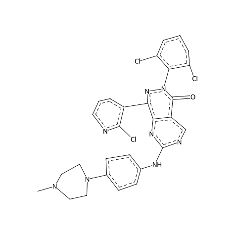 CN1CCN(c2ccc(Nc3ncc4c(=O)n(-c5c(Cl)cccc5Cl)nc(-c5cccnc5Cl)c4n3)cc2)CC1